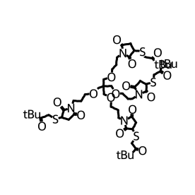 CC(C)(C)C(=O)CSC1CC(=O)N(CCCOCC(COCCCN2C(=O)CC(SCC(=O)C(C)(C)C)C2=O)(COCCCN2C(=O)CC(SCC(=O)C(C)(C)C)C2=O)COCCCN2C(=O)CC(SCC(=O)C(C)(C)C)C2=O)C1=O